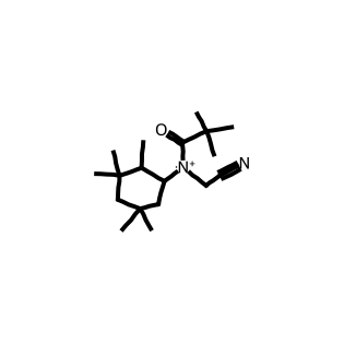 CC1C([N+](CC#N)C(=O)C(C)(C)C)CC(C)(C)CC1(C)C